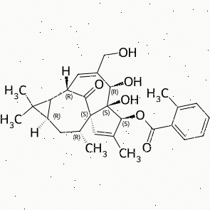 CC1=C[C@]23C(=O)[C@@H](C=C(CO)[C@@H](O)[C@]2(O)[C@H]1OC(=O)c1ccccc1C)C1[C@@H](C[C@H]3C)C1(C)C